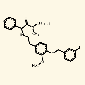 COc1cc(CCNC(C(=O)N(C)C)c2ccccc2)ccc1OCc1cccc(F)c1.Cl